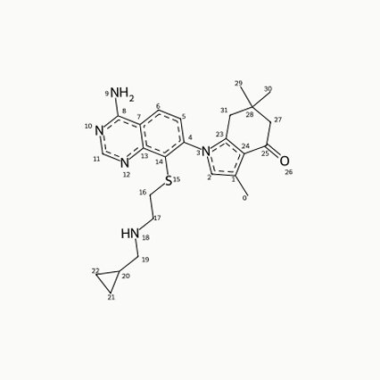 Cc1cn(-c2ccc3c(N)ncnc3c2SCCNCC2CC2)c2c1C(=O)CC(C)(C)C2